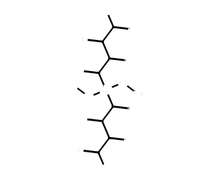 CC[O][Sn]([O]CC)([CH](F)C(F)C(F)C(F)F)[CH](F)C(F)C(F)C(F)F